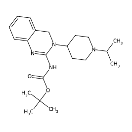 CC(C)N1CCC(N2Cc3ccccc3N=C2NC(=O)OC(C)(C)C)CC1